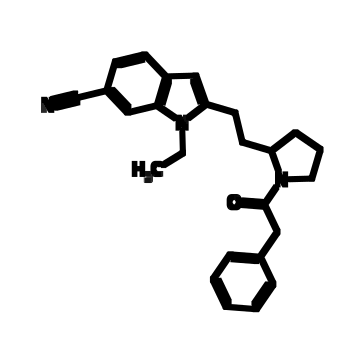 CCn1c(CCC2CCCN2C(=O)Cc2ccccc2)cc2ccc(C#N)cc21